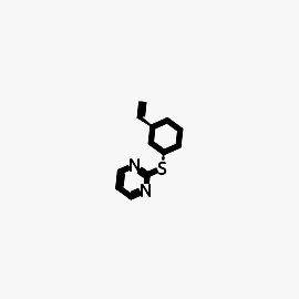 C=C[C@H]1CCC[C@H](Sc2ncccn2)C1